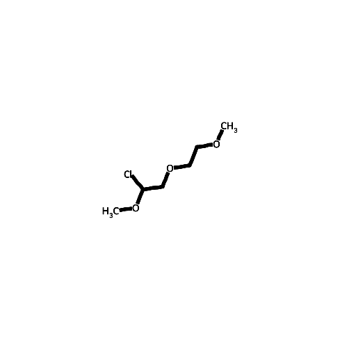 COCCOCC(Cl)OC